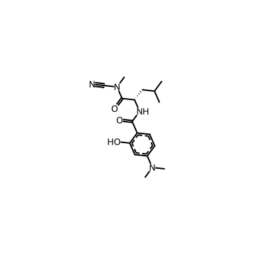 CC(C)C[C@H](NC(=O)c1ccc(N(C)C)cc1O)C(=O)N(C)C#N